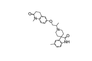 Cc1ccc2c(c1)C1(CCN(C(C)COc3ccc4c(c3)CCC(=O)N4C)CC1)C(=O)N2